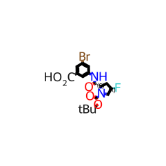 CC(C)(C)OC(=O)N1C[C@H](F)C[C@H]1C(=O)Nc1cc(Br)cc(C(=O)O)c1